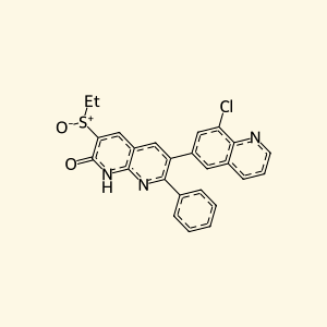 CC[S+]([O-])c1cc2cc(-c3cc(Cl)c4ncccc4c3)c(-c3ccccc3)nc2[nH]c1=O